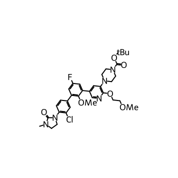 COCCOc1ncc(-c2cc(F)cc(-c3ccc(N4CCN(C)C4=O)c(Cl)c3)c2OC)cc1N1CCN(C(=O)OC(C)(C)C)CC1